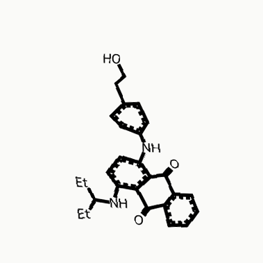 CCC(CC)Nc1ccc(Nc2ccc(CCO)cc2)c2c1C(=O)c1ccccc1C2=O